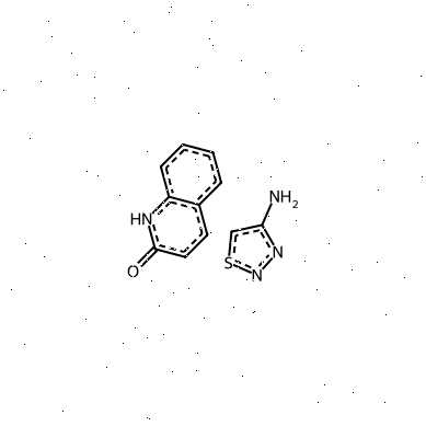 Nc1csnn1.O=c1ccc2ccccc2[nH]1